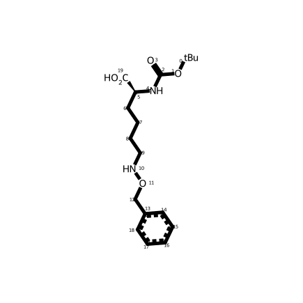 CC(C)(C)OC(=O)N[C@@H](CCCCNOCc1ccccc1)C(=O)O